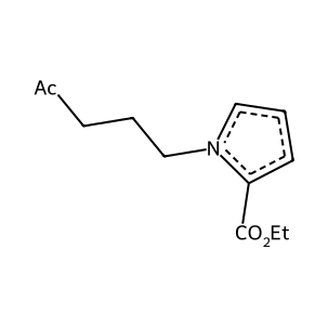 CCOC(=O)c1cccn1CCCC(C)=O